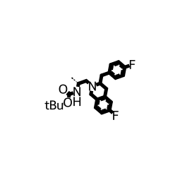 C[C@H](CN1Cc2ccc(F)cc2CC1Cc1ccc(F)cc1)NC(=O)OC(C)(C)C